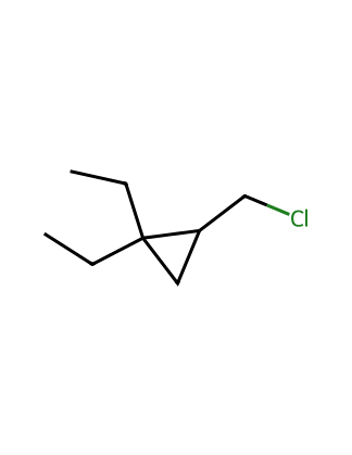 CCC1(CC)CC1CCl